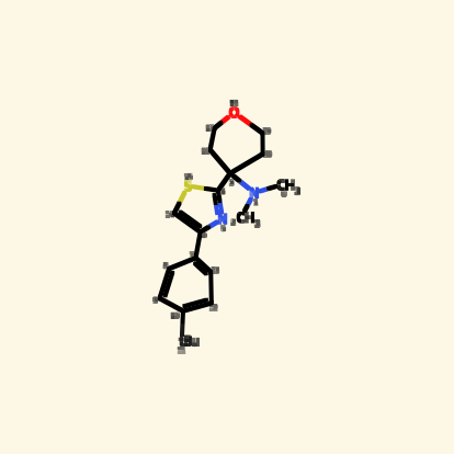 CN(C)C1(c2nc(-c3ccc(C(C)(C)C)cc3)cs2)CCOCC1